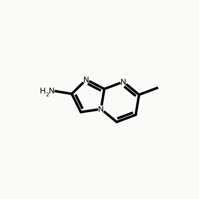 Cc1ccn2cc(N)nc2n1